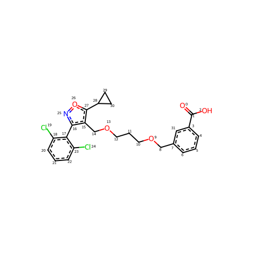 O=C(O)c1cccc(COCCCOCc2c(-c3c(Cl)cccc3Cl)noc2C2CC2)c1